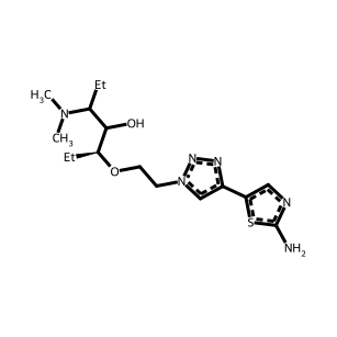 CCC(C(O)[C@H](CC)OCCn1cc(-c2cnc(N)s2)nn1)N(C)C